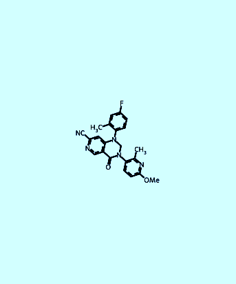 COc1ccc(N2CN(c3ccc(F)cc3C)c3cc(C#N)ncc3C2=O)c(C)n1